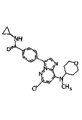 CN(c1cc(Cl)nn2c(-c3ccc(C(=O)NC4CC4)cc3)cnc12)C1CCOCC1